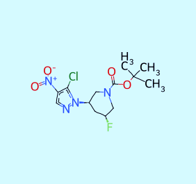 CC(C)(C)OC(=O)N1C[C@@H](F)C[C@@H](n2ncc([N+](=O)[O-])c2Cl)C1